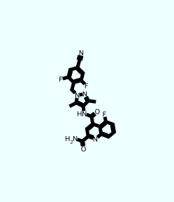 Cc1nn(Cc2c(F)cc(C#N)cc2F)c(C)c1NC(=O)c1cc(C(N)=O)nc2cccc(F)c12